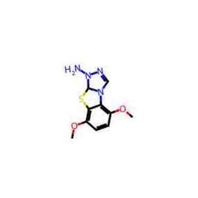 COc1ccc(OC)c2c1SC1N(N)N=CN21